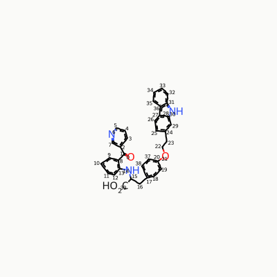 O=C(c1cccnc1)c1ccccc1NC(Cc1ccc(OCCc2ccc3c(c2)[nH]c2ccccc23)cc1)C(=O)O